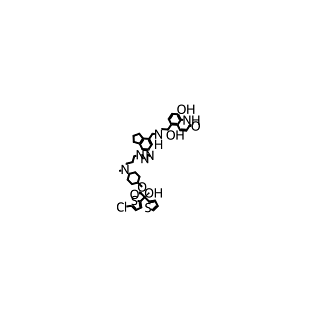 CN(CCCn1nnc2cc(CNC[C@H](O)c3ccc(O)c4[nH]c(=O)ccc34)c3c(c21)CCC3)C1CCC(OC(=O)[C@](O)(c2cccs2)c2ccc(Cl)s2)CC1